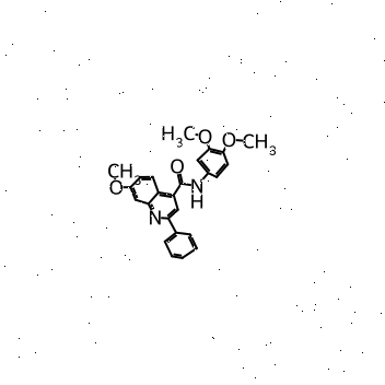 COc1ccc2c(C(=O)Nc3ccc(OC)c(OC)c3)cc(-c3ccccc3)nc2c1